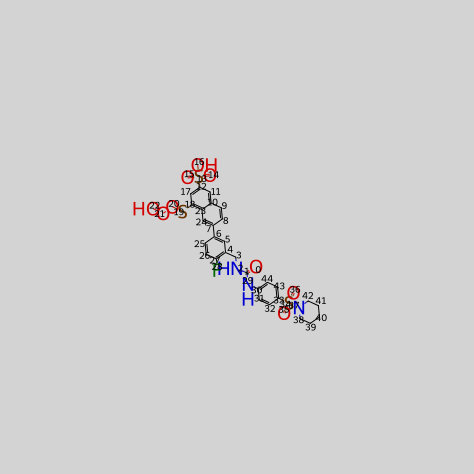 O=C(NCc1cc(-c2ccc3cc(S(=O)(=O)O)cc(SOOO)c3c2)ccc1F)Nc1ccc(S(=O)(=O)N2CCCCC2)cc1